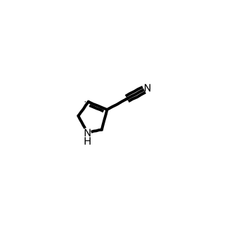 N#CC1=[C]CNC1